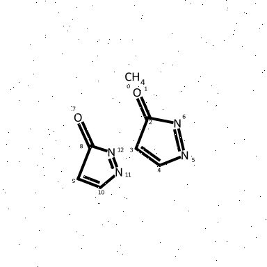 C.O=C1C=CN=N1.O=C1C=CN=N1